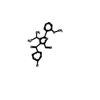 COc1ccccc1-c1nc(C=O)c(C(=O)c2ccc(Cl)cc2)n1C(C)C